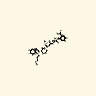 COCCCn1c([C@@H]2CCCN(C(=O)C[C@H](N)CNC(=O)Nc3ccccc3C(C)C)C2)nc2ccccc21